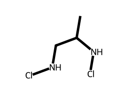 CC(CNCl)NCl